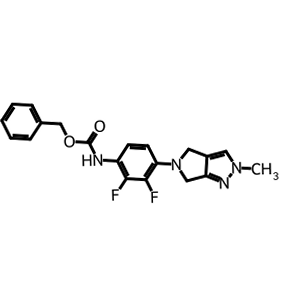 Cn1cc2c(n1)CN(c1ccc(NC(=O)OCc3ccccc3)c(F)c1F)C2